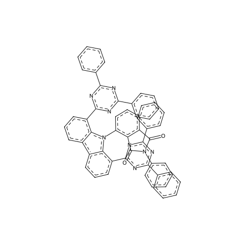 O=C1c2cccc(-n3c4c(-c5nc(-c6ccccc6)nc(-c6ccccc6)n5)cccc4c4cccc(-c5nc(-c6ccccc6)nc(-c6ccccc6)n5)c43)c2C(=O)N1c1ccccc1